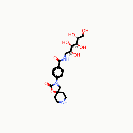 O=C(NC[C@H](O)[C@@H](O)[C@H](O)[C@H](O)CO)c1ccc(N2CC3(CCNCC3)OC2=O)cc1